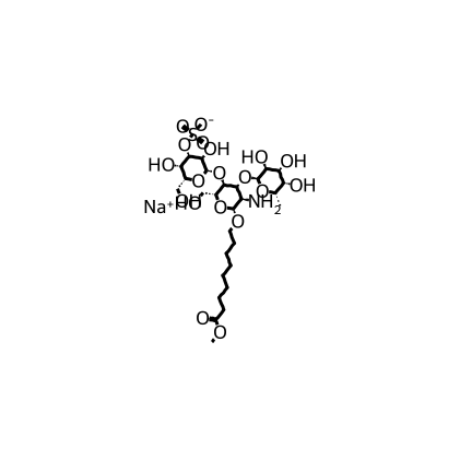 COC(=O)CCCCCCCCO[C@@H]1O[C@H](CO)[C@@H](O[C@@H]2O[C@H](CO)[C@H](O)[C@H](OS(=O)(=O)[O-])[C@H]2O)[C@H](O[C@@H]2O[C@@H](C)[C@@H](O)[C@@H](O)[C@@H]2O)[C@H]1N.[Na+]